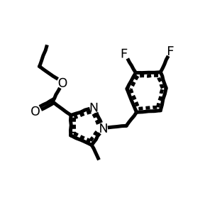 CCOC(=O)c1cc(C)n(Cc2ccc(F)c(F)c2)n1